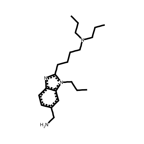 CCCN(CCC)CCCCc1nc2ccc(CN)cc2n1CCC